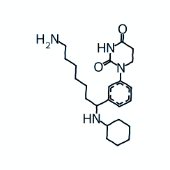 NCCCCCCC(NC1CCCCC1)c1cccc(N2CCC(=O)NC2=O)c1